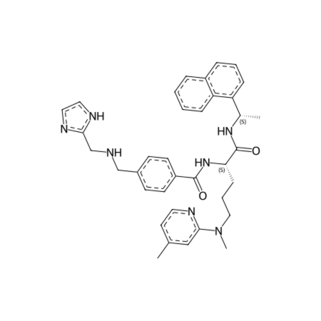 Cc1ccnc(N(C)CCC[C@H](NC(=O)c2ccc(CNCc3ncc[nH]3)cc2)C(=O)N[C@@H](C)c2cccc3ccccc23)c1